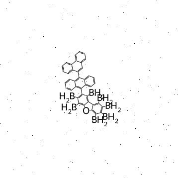 Bc1c(B)c(B)c2c(oc3c(B)c(B)c(-c4c5ccccc5c(-c5cc6ccccc6c6ccccc56)c5ccccc45)c(B)c32)c1B